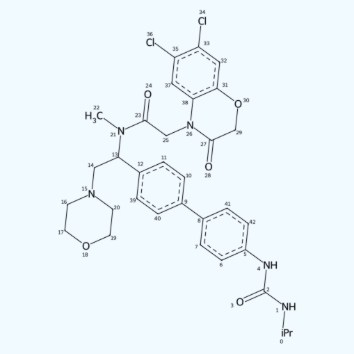 CC(C)NC(=O)Nc1ccc(-c2ccc(C(CN3CCOCC3)N(C)C(=O)CN3C(=O)COc4cc(Cl)c(Cl)cc43)cc2)cc1